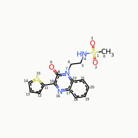 CS(=O)(=O)NCCn1c(=O)c(-c2cccs2)nc2ccccc21